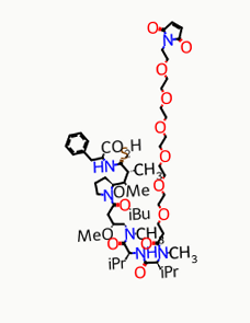 CC[C@H](C)[C@@H]([C@@H](CC(=O)N1CCC[C@H]1[C@H](OC)[C@@H](C)C(=S)NC(Cc1ccccc1)C(=O)O)OC)N(C)C(=O)[C@@H](NC(=O)[C@H](C(C)C)N(C)C(=O)CCOCCOCCOCCOCCOCCOCCN1C(=O)C=CC1=O)C(C)C